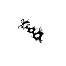 O=C1COC(c2ccc(-c3ccc(F)cc3F)cc2)=NN1